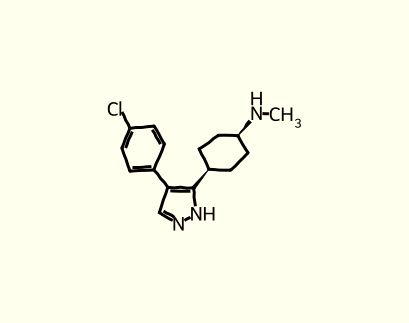 CN[C@H]1CC[C@@H](c2[nH]ncc2-c2ccc(Cl)cc2)CC1